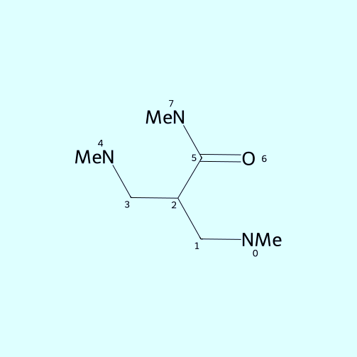 CNCC(CNC)C(=O)NC